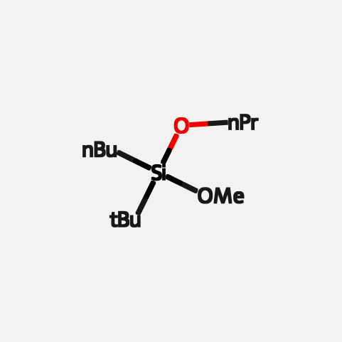 CCCC[Si](OC)(OCCC)C(C)(C)C